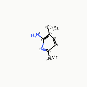 CCOC(=O)c1ccc(NC)nc1N